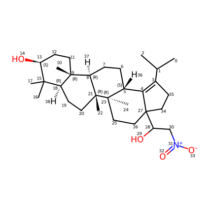 CC(C)C1=C2[C@H]3CC[C@@H]4[C@@]5(C)CC[C@H](O)C(C)(C)[C@@H]5CC[C@@]4(C)[C@]3(C)CCC2(C(O)C[N+](=O)[O-])CC1